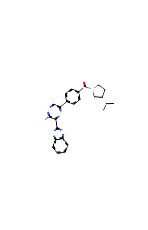 CC(C)[C@@H]1CCN(C(=O)c2ccc(-c3cnc(N)c(-c4nc5ccccc5[nH]4)n3)cc2)C1